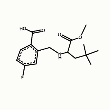 COC(=O)C(CC(C)(C)C)NCc1cc(F)ccc1C(=O)O